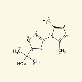 Cc1ccc(C)n1-c1cc(C(C)(C)O)on1